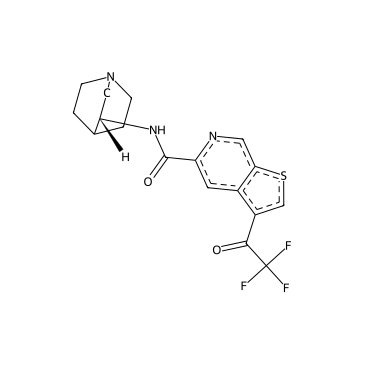 O=C(N[C@H]1CN2CCC1CC2)c1cc2c(C(=O)C(F)(F)F)csc2cn1